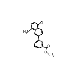 COC(=O)c1cccc(-c2ccc3c(Cl)ccc(N)c3c2)n1